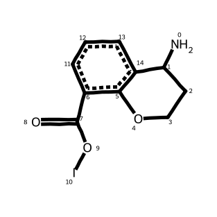 NC1CCOc2c(C(=O)OI)cccc21